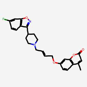 Cc1cc(=O)oc2cc(OC/C=C/CN3CCC(c4noc5cc(F)ccc45)CC3)ccc12